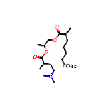 CCCCCCCCCCCCCCC(C)C(=O)OCC(C)OC(=O)C(C)CCN(C)C